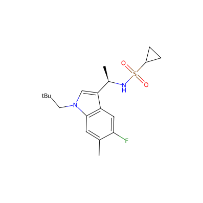 Cc1cc2c(cc1F)c([C@@H](C)NS(=O)(=O)C1CC1)cn2CC(C)(C)C